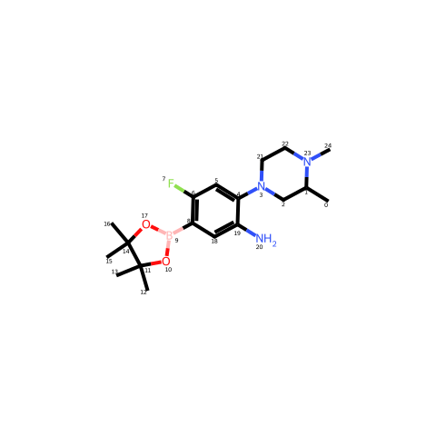 CC1CN(c2cc(F)c(B3OC(C)(C)C(C)(C)O3)cc2N)CCN1C